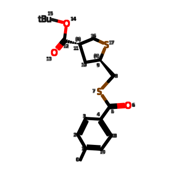 Cc1ccc(C(=O)SC[C@H]2C[C@H](C(=O)OC(C)(C)C)CS2)cc1